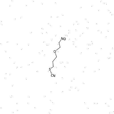 N#CSCCCOCCN=O